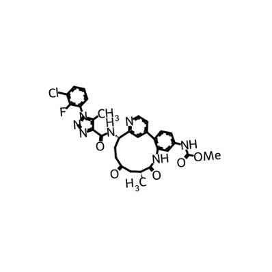 COC(=O)Nc1ccc2c(c1)NC(=O)[C@H](C)CC(=O)CC[C@H](NC(=O)c1nnn(-c3cccc(Cl)c3F)c1C)c1cc-2ccn1